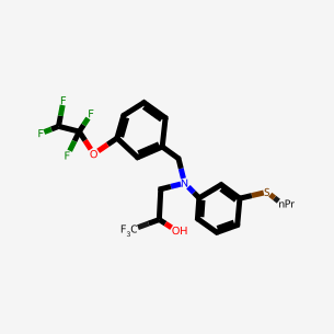 CCCSc1cccc(N(Cc2cccc(OC(F)(F)C(F)F)c2)CC(O)C(F)(F)F)c1